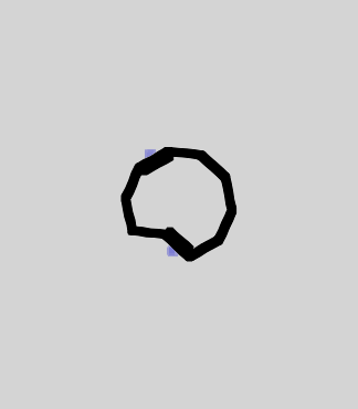 C1=C\CCCC/C=C/CC/1